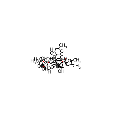 C=C1C[C@@]23CC[C@H]4[C@@](C)(CCC[C@@]4(C)C(=O)OC4OC(C)CC(O)C4O)[C@@H]2CC[C@@]1(C)O[C@@H]3C1OC(CO)C2C(CC(O)C(O)C(O)C(C)O)OC2C1OC1OC(C)CC(O)C1O